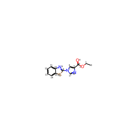 CCOC(=O)c1cn(-c2nc3ccccc3s2)cn1